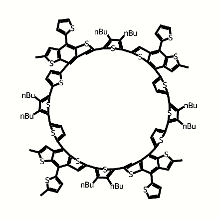 CCCCc1c(CCCC)c2sc1c1ccc(s1)c1c3cc(sc3c(-c3cccs3)c3cc(C)sc31)c1sc(c(CCCC)c1CCCC)c1cc3c(-c4cccs4)c4sc(C)cc4c(c4ccc(s4)c4sc(c(CCCC)c4CCCC)c4ccc(s4)c4c5cc(sc5c(-c5cccs5)c5cc(C)sc54)c4sc(c(CCCC)c4CCCC)c4cc5c(-c6ccc(C)s6)c6sc(C)cc6c(c6ccc2s6)c5s4)c3s1